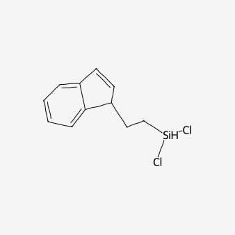 Cl[SiH](Cl)CCC1C=Cc2ccccc21